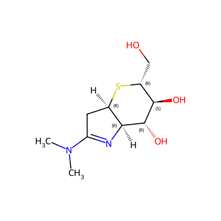 CN(C)C1=N[C@@H]2[C@@H](O)[C@H](O)[C@@H](CO)S[C@@H]2C1